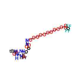 CCCN(CCCNC(=O)OC(C)(C)C)C(=O)C1=Cc2ccc(-c3cccc(S(=O)(=O)N4CC(CN(C)CCOCCOCCOCCOCCOCCOCCOCCOCCOCCOCCC(=O)Oc5c(F)c(F)cc(F)c5F)C4)c3)cc2N=C(N)C1